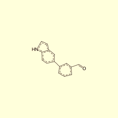 O=Cc1cccc(-c2ccc3[nH]ccc3c2)c1